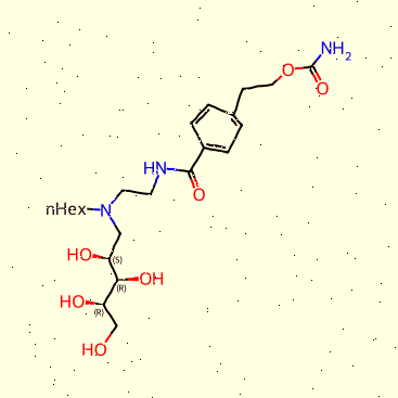 CCCCCCN(CCNC(=O)c1ccc(CCOC(N)=O)cc1)C[C@H](O)[C@@H](O)[C@H](O)CO